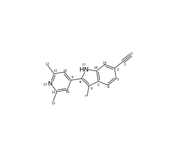 C#Cc1ccc2c(C)c(-c3cc(C)nc(C)c3)[nH]c2c1